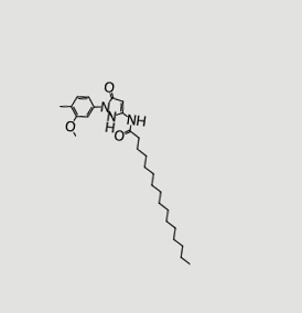 CCCCCCCCCCCCCCCC(=O)Nc1cc(=O)n(-c2ccc(C)c(OC)c2)[nH]1